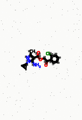 Cc1nn(C2CC2)c(N)c1C(=O)OCC(=O)c1ccccc1Cl